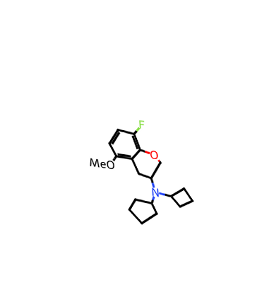 COc1ccc(F)c2c1CC(N(C1CCCC1)C1CCC1)CO2